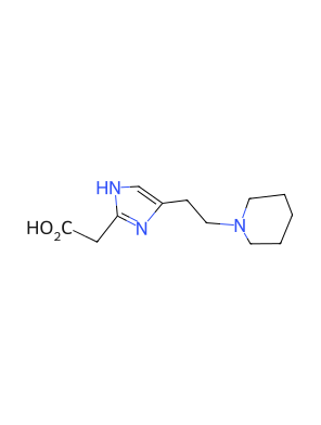 O=C(O)Cc1nc(CCN2CCCCC2)c[nH]1